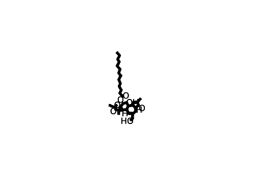 CCCCCCCCCCCCCC(=O)O[C@@H]1CC2(O)C3C=C(C)C(=O)[C@H]3CC(CO)=C[C@H]2C2C(C)(C)C21OC(C)=O